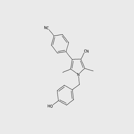 Cc1c(C#N)c(-c2ccc(C#N)cc2)c(C)n1Cc1ccc(O)cc1